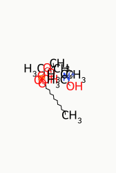 C=C(C)C(=O)OC(C)COP(=O)(O)OCCCCCCCCCCCC.C[N+](C)(C)CCO